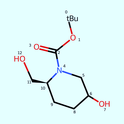 CC(C)(C)OC(=O)N1CC(O)CC[C@H]1CO